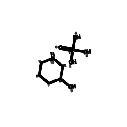 O=P(O)(O)O.OC1CCCNC1